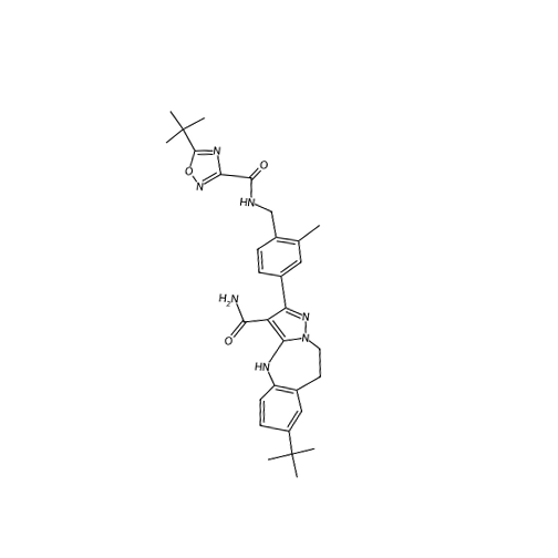 Cc1cc(-c2nn3c(c2C(N)=O)Nc2ccc(C(C)(C)C)cc2CC3)ccc1CNC(=O)c1noc(C(C)(C)C)n1